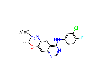 COC[C@@H](C)Oc1cc2ncnc(Nc3ccc(F)c(Cl)c3)c2cc1N